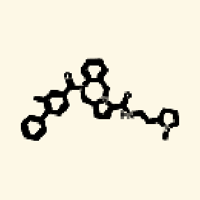 Cc1cc(C(=O)N2Cc3ccc(C(=O)NCCC4CCCN4C)n3Cc3ccccc32)ccc1-c1ccccc1